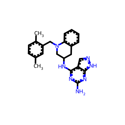 Cc1ccc(C)c(CN2CC(Nc3nc(N)nc4[nH]ncc34)Cc3ccccc32)c1